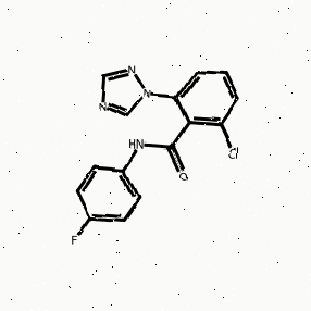 O=C(Nc1ccc(F)cc1)c1c(Cl)cccc1-n1cncn1